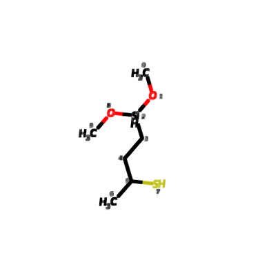 CO[SiH](CCC(C)S)OC